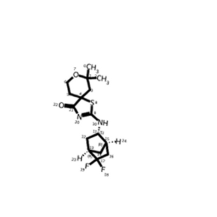 CC1(C)CC2(CCO1)SC(N[C@H]1C[C@H]3C[C@@H]1CC3(F)F)=NC2=O